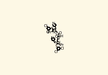 CC(C)c1nc(COC(=O)NC(=O)OCc2nc(C(C)C)c(Sc3cc(Cl)cc(Cl)c3)n2Cc2ccncc2)n(Cc2ccncc2)c1Sc1cc(Cl)cc(Cl)c1